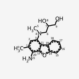 Cc1cc(N(C)CC(O)CO)c2c(oc3ccccc32)c1N